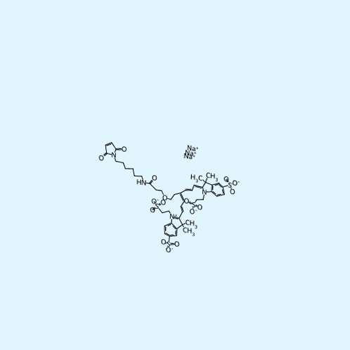 CC1(C)C(=CC=CC(=CC=CC2=[N+](CCS(=O)(=O)[O-])c3ccc(S(=O)(=O)[O-])cc3C2(C)C)CCOCCC(=O)NCCCCCCN2C(=O)C=CC2=O)N(CCS(=O)(=O)[O-])c2ccc(S(=O)(=O)[O-])cc21.[Na+].[Na+].[Na+]